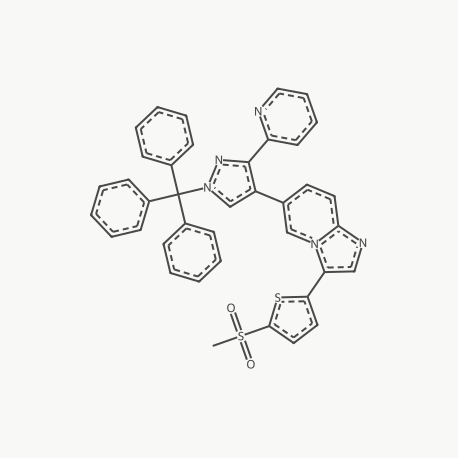 CS(=O)(=O)c1ccc(-c2cnc3ccc(-c4cn(C(c5ccccc5)(c5ccccc5)c5ccccc5)nc4-c4ccccn4)cn23)s1